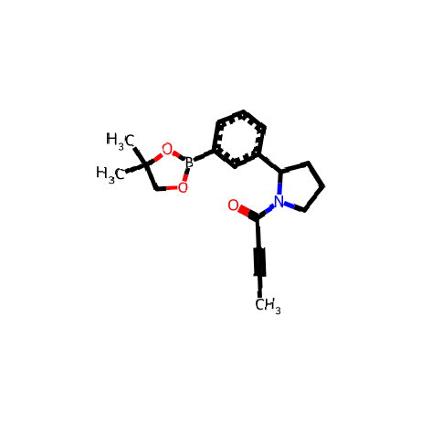 CC#CC(=O)N1CCCC1c1cccc(B2OCC(C)(C)O2)c1